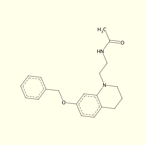 CC(=O)NCCN1CCCc2ccc(OCc3ccccc3)cc21